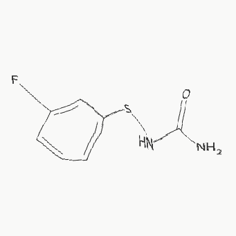 NC(=O)NSc1cccc(F)c1